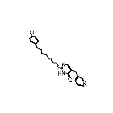 O=c1[nH]c(SCCCCCCCCc2ccc(Cl)cc2)ncc1Cc1cccnc1